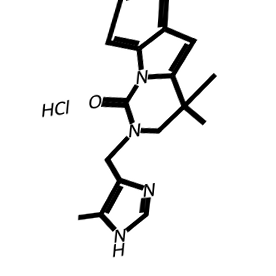 Cc1[nH]cnc1CN1CC(C)(C)c2cc3ccccc3n2C1=O.Cl